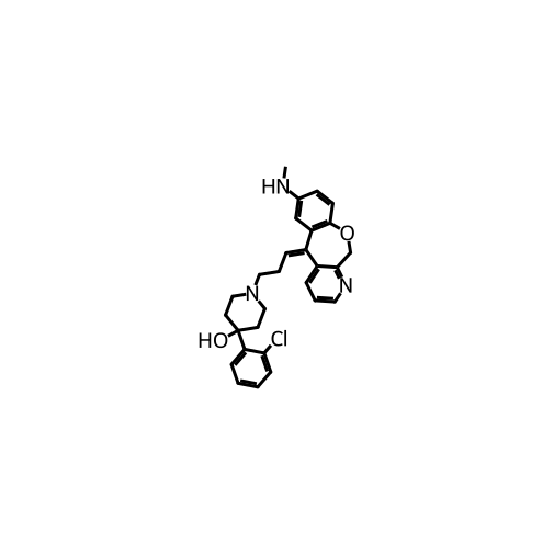 CNc1ccc2c(c1)/C(=C/CCN1CCC(O)(c3ccccc3Cl)CC1)c1cccnc1CO2